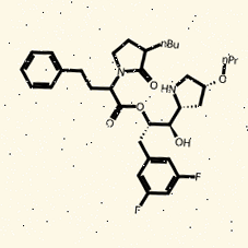 CCCCC1CCN(C(CCc2ccccc2)C(=O)O[C@@H](Cc2cc(F)cc(F)c2)[C@H](O)[C@H]2C[C@@H](OCCC)CN2)C1=O